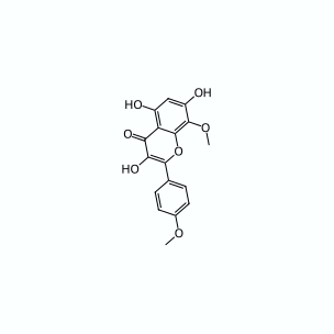 COc1ccc(-c2oc3c(OC)c(O)cc(O)c3c(=O)c2O)cc1